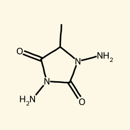 CC1C(=O)N(N)C(=O)N1N